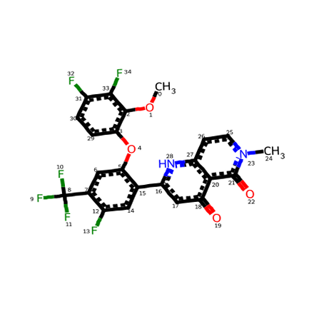 COc1c(Oc2cc(C(F)(F)F)c(F)cc2-c2cc(=O)c3c(=O)n(C)ccc3[nH]2)ccc(F)c1F